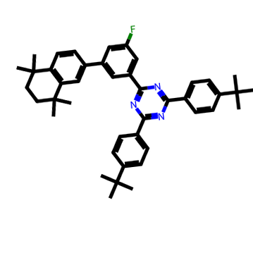 CC(C)(C)c1ccc(-c2nc(-c3ccc(C(C)(C)C)cc3)nc(-c3cc(F)cc(-c4ccc5c(c4)C(C)(C)CCC5(C)C)c3)n2)cc1